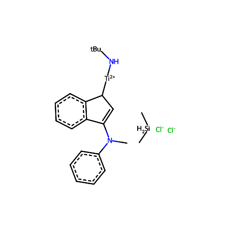 CN(C1=C[CH]([Ti+2][NH]C(C)(C)C)c2ccccc21)c1ccccc1.C[SiH2]C.[Cl-].[Cl-]